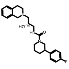 O=C(NC[C@H](O)CN1CCc2ccccc2C1)N1CCCC(c2ccc(F)cc2)C1